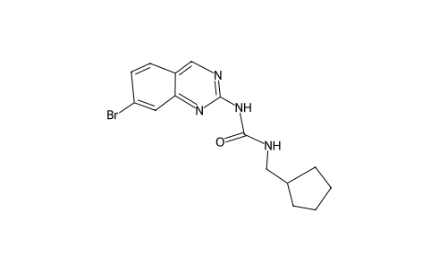 O=C(NCC1CCCC1)Nc1ncc2ccc(Br)cc2n1